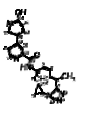 C=C(/C=C\C=C(/C)c1nncn1C1CC1)NC(=O)c1cc(-c2ccc(O)nc2)ccn1